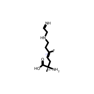 C[C@](N)(C/C=C(\F)CCNCC=N)C(=O)O